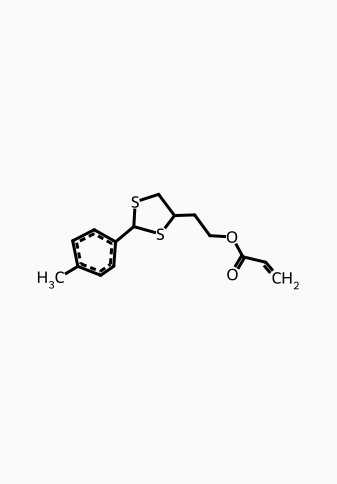 C=CC(=O)OCCC1CSC(c2ccc(C)cc2)S1